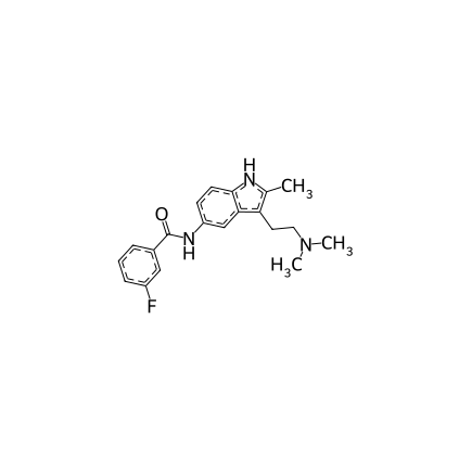 Cc1[nH]c2ccc(NC(=O)c3cccc(F)c3)cc2c1CCN(C)C